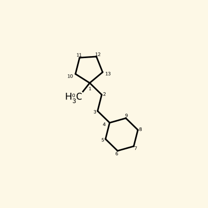 CC1(CCC2CCCCC2)CCCC1